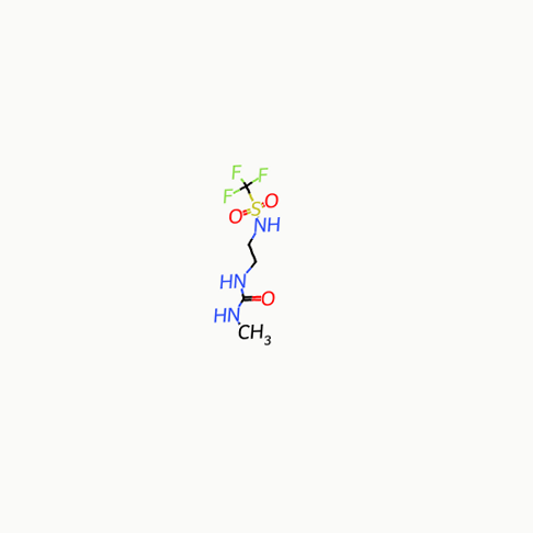 CNC(=O)NCCNS(=O)(=O)C(F)(F)F